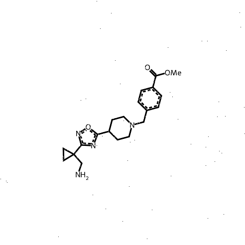 COC(=O)c1ccc(CN2CCC(c3nc(C4(CN)CC4)no3)CC2)cc1